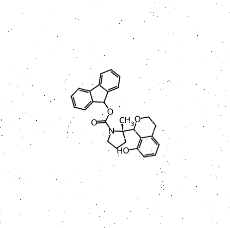 C[C@@]1(C2OCCc3cccc(O)c32)CCCN1C(=O)OC1c2ccccc2-c2ccccc21